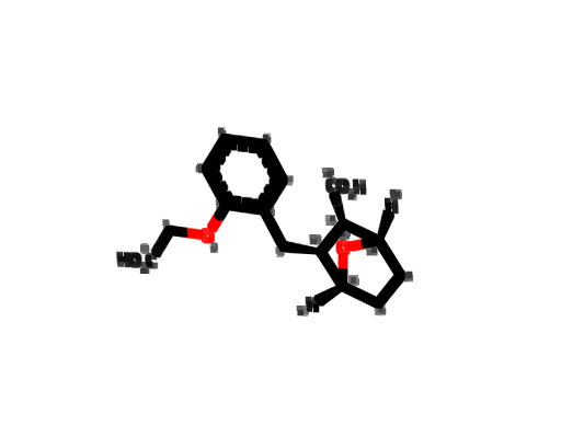 O=C(O)COc1ccccc1C[C@H]1[C@@H](C(=O)O)[C@@H]2CC[C@H]1O2